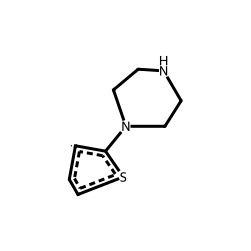 [c]1ccsc1N1CCNCC1